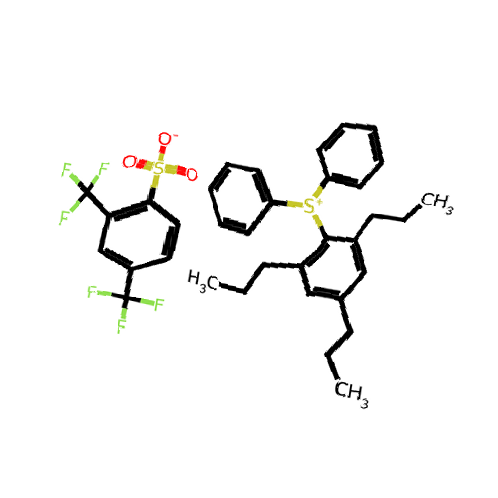 CCCc1cc(CCC)c([S+](c2ccccc2)c2ccccc2)c(CCC)c1.O=S(=O)([O-])c1ccc(C(F)(F)F)cc1C(F)(F)F